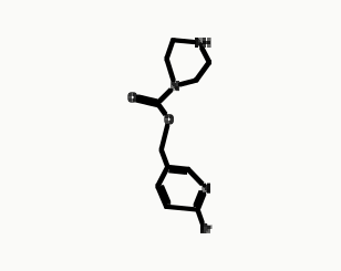 O=C(OCc1ccc(Br)nc1)N1CCNCC1